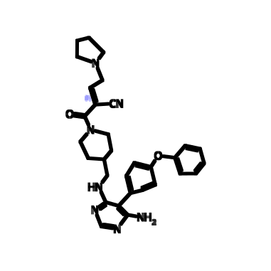 N#C/C(=C\CN1CCCC1)C(=O)N1CCC(CNc2ncnc(N)c2-c2ccc(Oc3ccccc3)cc2)CC1